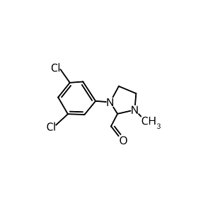 CN1CCN(c2cc(Cl)cc(Cl)c2)C1C=O